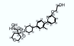 Cc1cc(C2CCN(S(=O)(=O)C3(C(=O)NO)CCOCC3)CC2)ccc1-c1cccc(OCCO)n1